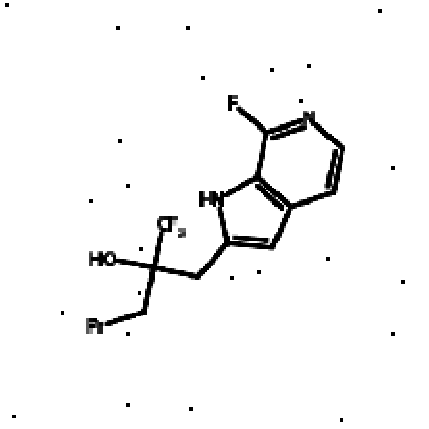 CC(C)CC(O)(Cc1cc2ccnc(F)c2[nH]1)C(F)(F)F